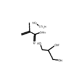 C=C(C)C(=O)OC.O=C(O)O.OCC(O)CO